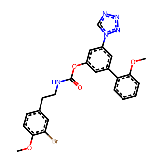 COc1ccc(CCNC(=O)Oc2cc(-c3ccccc3OC)cc(-n3cnnn3)c2)cc1Br